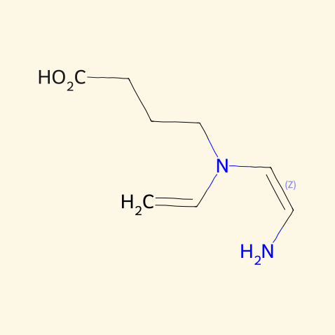 C=CN(/C=C\N)CCCC(=O)O